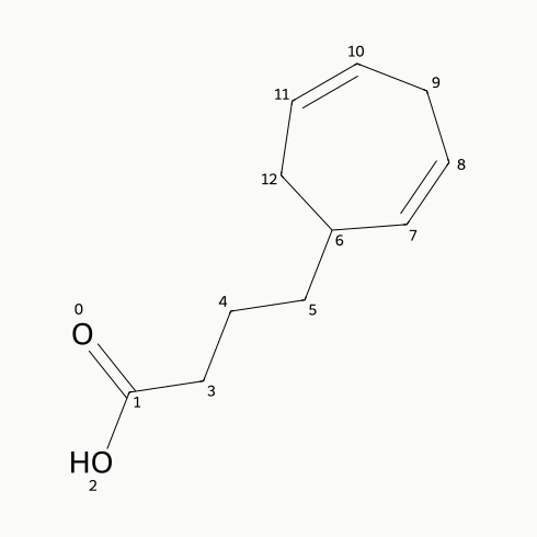 O=C(O)CCCC1C=CCC=CC1